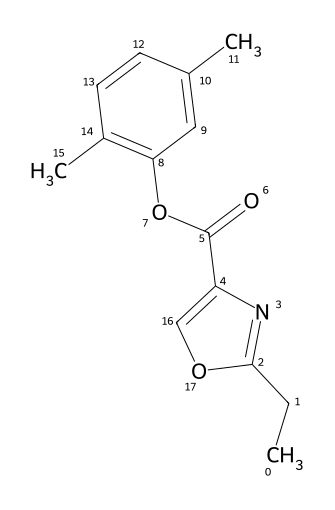 CCc1nc(C(=O)Oc2cc(C)ccc2C)co1